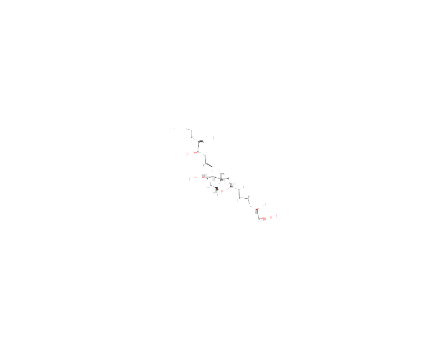 C=C(CCC)C(O)C/C=C/[C@@H]1[C@H]2CC(CCCCC(=O)CO)O[C@H]2C[C@H]1O